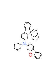 c1ccc(N(c2ccc3c(c2)C2(c4ccccc4-3)C3CC4CC(C3)CC2C4)c2ccc3c(c2)oc2ccccc23)cc1